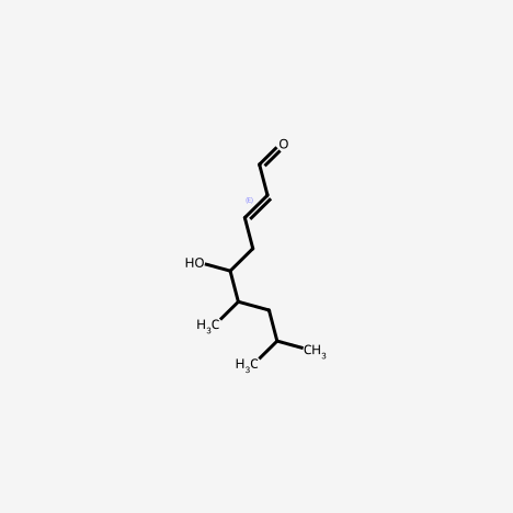 CC(C)CC(C)C(O)C/C=C/C=O